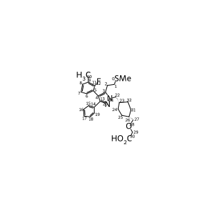 CSCCc1c(-c2cccc(C)c2F)c(-c2ccccc2)nn1C[C@H]1CC[C@@H](COCC(=O)O)CC1